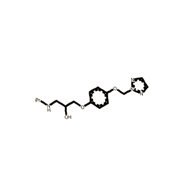 CC(C)NCC(O)COc1ccc(OCn2nccn2)cc1